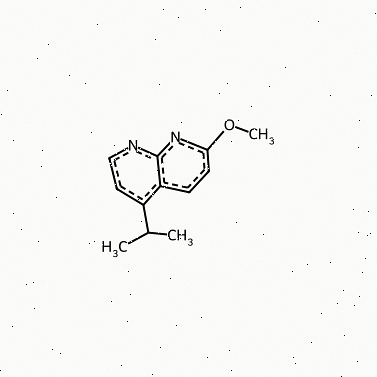 COc1ccc2c(C(C)C)ccnc2n1